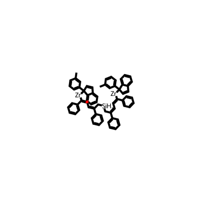 Cc1cccc([C]2([Zr][C](=CC=C(C[SiH2]CC(=CC=[C]([Zr][C]3(c4cccc(C)c4)C=Cc4ccccc43)c3ccccc3)c3ccccc3)c3ccccc3)c3ccccc3)C=Cc3ccccc32)c1